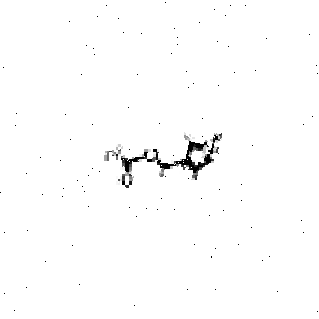 CC(C)C(=O)OCc1ccn(C)c1